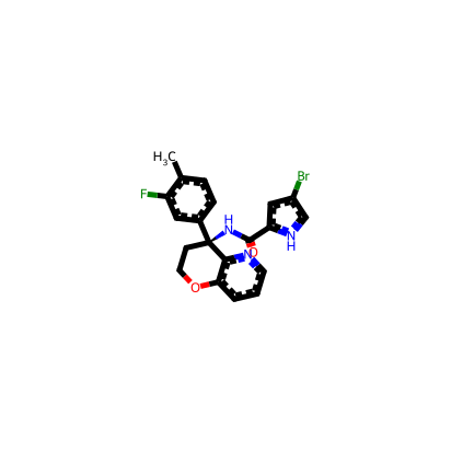 Cc1ccc([C@@]2(NC(=O)c3cc(Br)c[nH]3)CCOc3cccnc32)cc1F